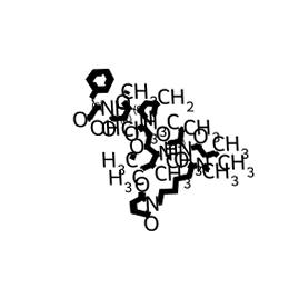 C=C1C[C@@H](C(OC)[C@@H](C)C(=O)N[C@@H](Cc2ccccc2)C(=O)O)N(C(=O)CC(OC)C(C(C)CC)N(C)C(=O)[C@@H](NC(=O)C(C(C)C)N(C)C(=O)CCCCCN2C(=O)C=CC2=O)C(C)C)C1